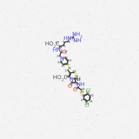 N=C(N)NCCC[C@H](NC(=O)C[n+]1ccc(SCC2=C(C(=O)O)N3C(=O)[C@H](NC(=O)CSc4cc(Cl)ccc4Cl)[C@H]3SC2)cc1)C(=O)O